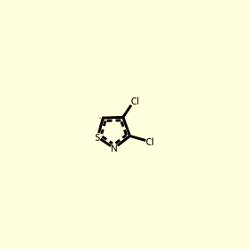 Clc1[c]snc1Cl